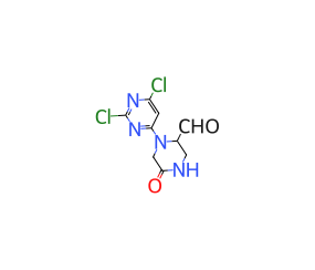 O=CC1CNC(=O)CN1c1cc(Cl)nc(Cl)n1